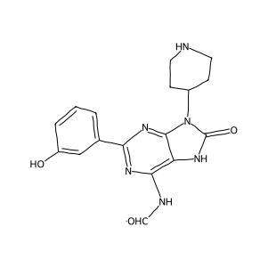 O=[C]Nc1nc(-c2cccc(O)c2)nc2c1[nH]c(=O)n2C1CCNCC1